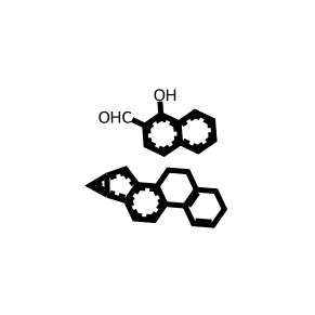 C1=CC2=C(CC1)CCc1c2ccc2c3cc-3cc12.O=Cc1ccc2ccccc2c1O